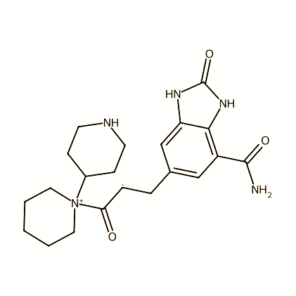 NC(=O)c1cc(C[CH]C(=O)[N+]2(C3CCNCC3)CCCCC2)cc2[nH]c(=O)[nH]c12